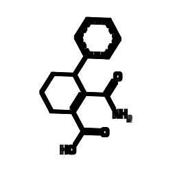 NC(=O)C1=C(C(=O)O)CCCC1c1ccccc1